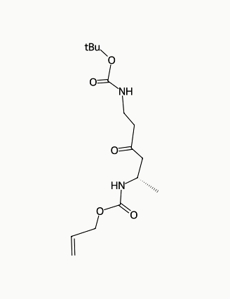 C=CCOC(=O)N[C@@H](C)CC(=O)CCNC(=O)OC(C)(C)C